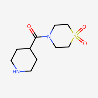 O=C(C1CCNCC1)N1CCS(=O)(=O)CC1